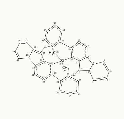 [Li][C]1=C2C=CC=CC2c2ccc(-c3ccccc3)c([Si](C)(C)c3c(-c4ccccc4)ccc4c3[C]([Li])=C3C=CC=CC34)c21